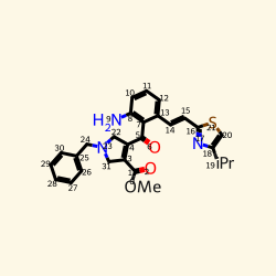 COC(=O)C1=C(C(=O)c2c(N)cccc2C=Cc2nc(C(C)C)cs2)CN(Cc2ccccc2)C1